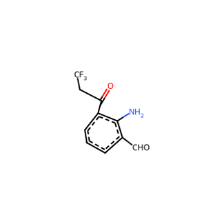 Nc1c(C=O)cccc1C(=O)CC(F)(F)F